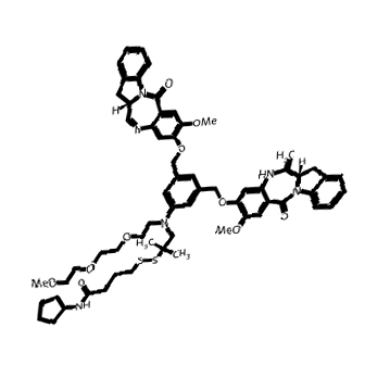 C=C1Nc2cc(OCc3cc(COc4cc5c(cc4OC)C(=O)N4c6ccccc6C[C@H]4C=N5)cc(N(CCOCCOCCOC)CC(C)(C)SSCCCC(=O)NC4CCCC4)c3)c(OC)cc2C(=O)N2c3ccccc3C[C@@H]12